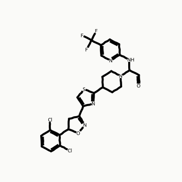 O=CC(Nc1ccc(C(F)(F)F)cn1)N1CCC(c2nc(C3=NOC(c4c(Cl)cccc4Cl)C3)cs2)CC1